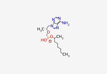 CCCCCCC(C)OP(=O)(O)CO[C@H](C)Cn1cnc2c(N)ncnc21